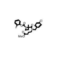 COC(=O)CCCN(Cc1ccc(Cl)cc1)C(=O)C1(C)CCN1C(=O)Oc1ccccc1F